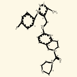 Cc1nnn(-c2ccc(F)cc2)c1COc1ccc2c(n1)CCN(C(=O)N1CCOCC1)C2